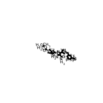 CC(C)(C)OC(=O)N1CC2[C@@H]3[C@H](n4nc(-c5cnn(Cc6cc(F)cc(C(F)(F)F)c6)c5)c(C(N)=O)c4N)C[C@]23C1